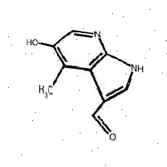 Cc1c(O)cnc2[nH]cc(C=O)c12